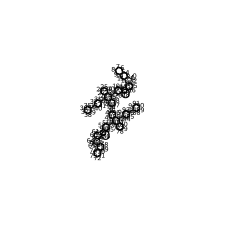 CC1(C)c2cc3ccccc3cc2-c2c1ccc1oc3cc(-c4c5ccccc5c(-c5ccc(-c6ccccc6)cc5)c5cc(-c6ccc7c(-c8ccc9c(c8)oc8c%10c(ccc89)C(C)(C)c8c-%10ccc9ccccc89)c8ccccc8c(-c8ccc(-c9ccccc9)cc8)c7c6)ccc45)ccc3c21